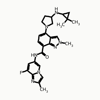 Cc1cn2cc(NC(=O)c3ccc(N4CCC(NC5CC5(C)C)C4)c4cn(C)nc34)cc(F)c2n1